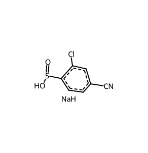 N#Cc1ccc(S(=O)O)c(Cl)c1.[NaH]